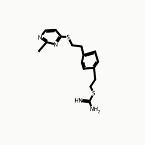 Cc1nccc(SCCc2ccc(CCSC(=N)N)cc2)n1